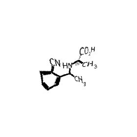 CC(N[C@@H](C)C(=O)O)c1ccccc1C#N